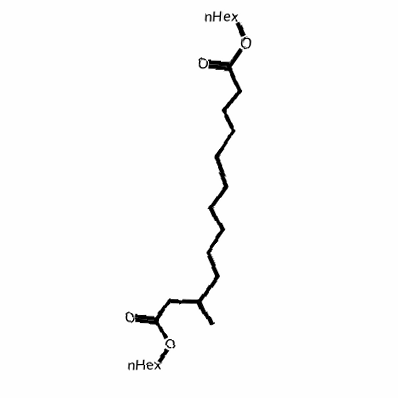 CCCCCCOC(=O)CCCCCCCCCC(C)CC(=O)OCCCCCC